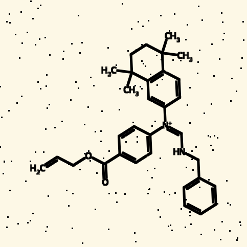 C=CCOC(=O)c1ccc([N+](=CNCc2ccccc2)c2ccc3c(c2)C(C)(C)CCC3(C)C)cc1